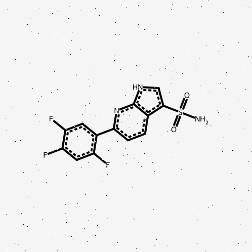 NS(=O)(=O)c1c[nH]c2nc(-c3cc(F)c(F)cc3F)ccc12